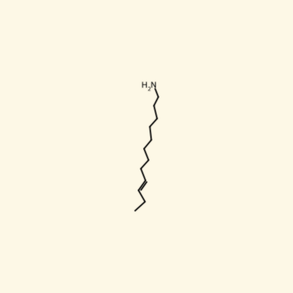 CC/C=C/CCCCCCCCN